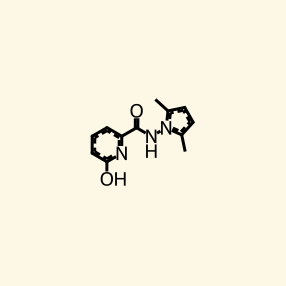 Cc1ccc(C)n1NC(=O)c1cccc(O)n1